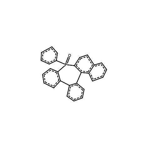 O=P1(c2ccccc2)c2ccccc2-c2ccccc2-c2c1ccc1ccccc21